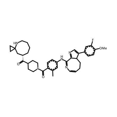 COc1ccc(C2=CN=C3/C(Nc4ccc(C(=O)N5CCC(C(=O)[C@H]6CCCCNC7(CC7)C6)CC5)c(C)c4)=N\C=C/CCC23)cc1F